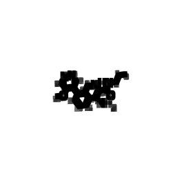 CCCNC(=O)c1ncc2c(-c3cnncc3OC)cccc2c1N